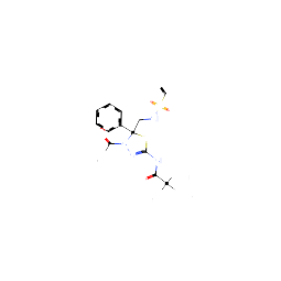 C=CS(=O)(=O)NCC1(c2ccccc2)SC(NC(=O)C(C)(C)C)=NN1C(C)=O